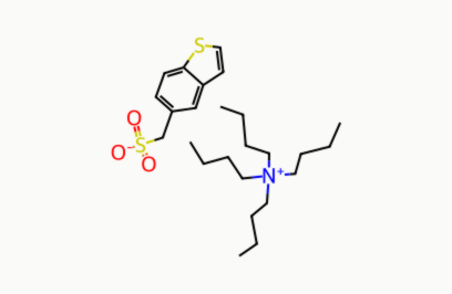 CCCC[N+](CCCC)(CCCC)CCCC.O=S(=O)([O-])Cc1ccc2sccc2c1